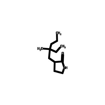 CCCC(C)(CC)CC1CCNC1=O